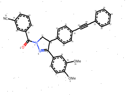 COc1ccc(C2=NN(C(=O)c3cccc(C#N)c3)CC2c2ccc(C#Cc3ccccc3)cc2)cc1OC